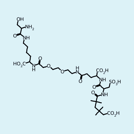 CC(C)(CC(=O)O)CC(C)(C)C(=O)NC(CS(=O)(=O)O)C(=O)NC(CCC(=O)NCCOCCOCC(=O)NC(CCCCNC(=O)C(N)CO)C(=O)O)C(=O)O